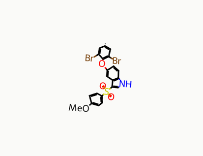 COc1ccc(S(=O)(=O)c2c[nH]c3ccc(Oc4c(Br)c[c]cc4Br)cc23)cc1